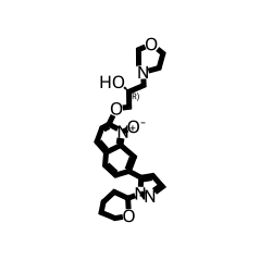 [O-][n+]1c(OC[C@H](O)CN2CCOCC2)ccc2ccc(-c3ccnn3C3CCCCO3)cc21